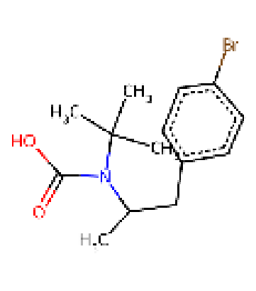 CC(Cc1ccc(Br)cc1)N(C(=O)O)C(C)(C)C